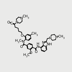 COc1cc(C(=O)N(C)c2ccc(C)cc2OCCCCC(=C=O)N2CCN(C)CC2)ccc1C(=O)Nc1cccc2[nH]c(CN3CCN(C)CC3)nc12